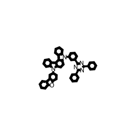 c1ccc(-c2nc(-c3ccccc3)nc(-c3cccc(-n4c5ccccc5c5c6c7ccccc7n(-c7ccc8oc9ccccc9c8c7)c6ccc54)c3)n2)cc1